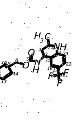 CC1CC(NC(=O)OCc2ccccc2)c2cc(C(F)(F)F)ccc2N1